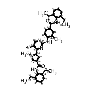 CCc1cccc(CC)c1NC(=O)c1ccc(Nc2ncc(Br)c(-c3cc(C(=O)Nc4c(CC)cccc4CC)cn3C)n2)c(C)c1